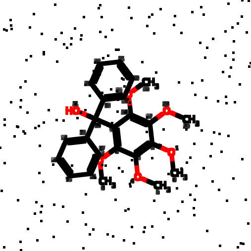 COc1c(OC)c(OC)c(C(O)(c2ccccc2)c2ccccc2)c(OC)c1OC